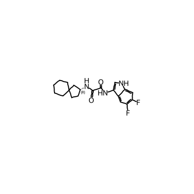 O=C(Nc1c[nH]c2cc(F)c(F)cc12)C(=O)N[C@@H]1CCC2(CCCCC2)C1